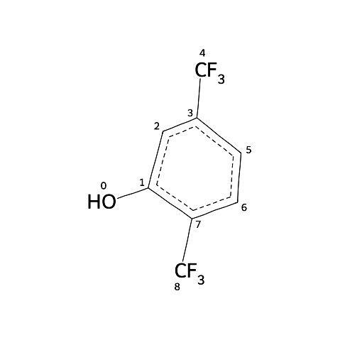 Oc1cc(C(F)(F)F)ccc1C(F)(F)F